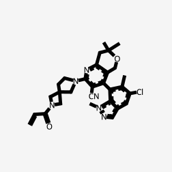 C=CC(=O)N1CC2(CCN(c3nc4c(c(-c5c(C)c(Cl)cc6cnn(C)c56)c3C#N)COC(C)(C)C4)C2)C1